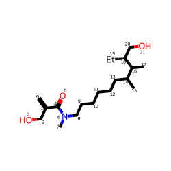 C=C(CO)C(=O)N(C)CCCCCCC(C)C(C)[C@@H](CC)CO